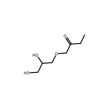 CCC(=O)COCC(O)CO